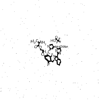 COc1cnc(-c2nn(Cc3c(F)cc(OCCOC(=O)C(C)N)cc3F)c3ccccc23)nc1Nc1ccnc(C)c1.O=C(O)C(F)(F)F